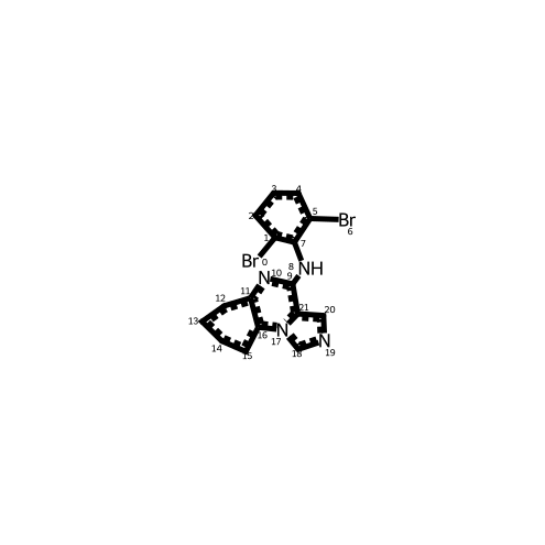 Brc1cccc(Br)c1Nc1nc2ccccc2n2cncc12